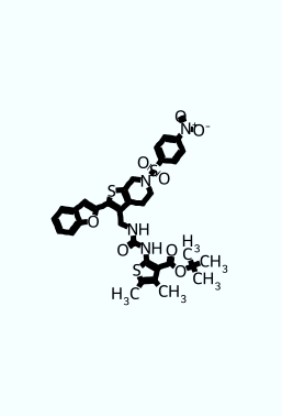 Cc1sc(NC(=O)NCc2c(-c3cc4ccccc4o3)sc3c2CCN(S(=O)(=O)c2ccc([N+](=O)[O-])cc2)C3)c(C(=O)OC(C)(C)C)c1C